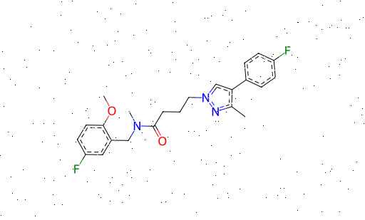 COc1ccc(F)cc1CN(C)C(=O)CCCn1cc(-c2ccc(F)cc2)c(C)n1